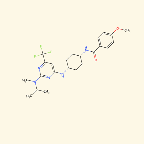 COc1ccc(C(=O)N[C@H]2CC[C@@H](Nc3cc(C(F)(F)F)nc(N(C)C(C)C)n3)CC2)cc1